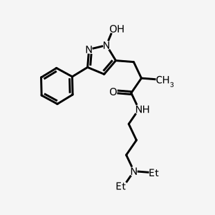 CCN(CC)CCCNC(=O)C(C)Cc1cc(-c2ccccc2)nn1O